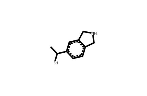 CC(S)c1ccc2c(c1)CNC2